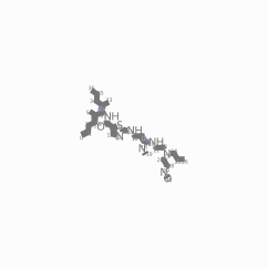 C=CCC=C(C)/C(NC(=O)c1cnc(NC/C=C(\N=C)NCCN(CCC)CCN=O)s1)=C(/C)CCC